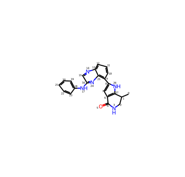 CC1CNC(=O)c2cc(-c3cccc4ncc(Nc5ccccc5)nc34)[nH]c21